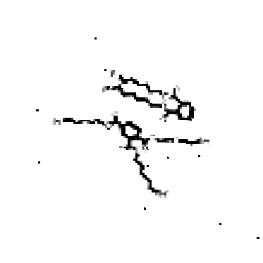 CC(C)CCCCCCOC(=O)c1ccccc1C(=O)OCCCCCCC(C)C.CC(C)CCCCCOC(=O)c1ccc(C(=O)OCCCCCC(C)C)c(C(=O)OCCCCCC(C)C)c1